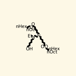 CCCCCCCCC(CCCCCC)COC(=O)CCCCCN(CCCCCC(=O)OCC(CCCCCC)CCCCCCCC)CCN(CC)CCCCCCO